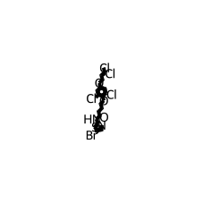 O=C(CCCOc1c(Cl)cc(OCC=C(Cl)Cl)cc1Cl)Nc1ncc(Br)s1